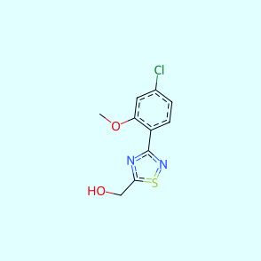 COc1cc(Cl)ccc1-c1nsc(CO)n1